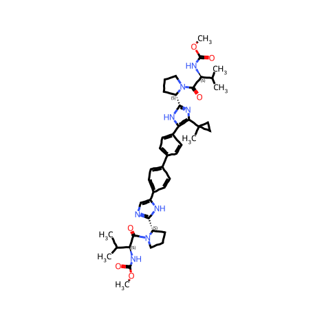 COC(=O)N[C@H](C(=O)N1CCC[C@H]1c1ncc(-c2ccc(-c3ccc(-c4[nH]c([C@@H]5CCCN5C(=O)[C@@H](NC(=O)OC)C(C)C)nc4C4(C)CC4)cc3)cc2)[nH]1)C(C)C